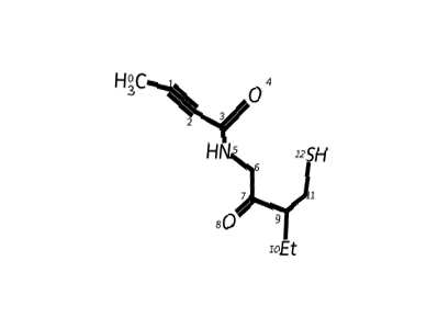 CC#CC(=O)NCC(=O)C(CC)CS